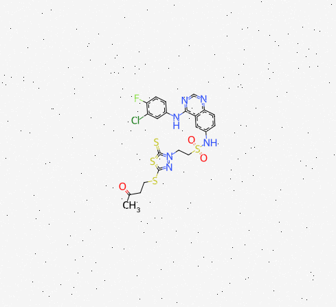 CC(=O)CCSc1nn(CCS(=O)(=O)Nc2ccc3ncnc(Nc4ccc(F)c(Cl)c4)c3c2)c(=S)s1